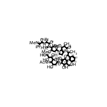 CCC(C)C(C(CC(=O)N1CCCC1C(OC)C(C)C(=O)NC(C)C(OC1CC(CO)C(O)C(OC2(C(=O)O)CC(O)C(NC(C)=O)C(C(O)C(O)CO)O2)C1O)c1ccccc1)OC)N(C)C(=O)C(NC(=O)C(NC)C(C)C)C(C)C